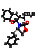 O=C(O)CC(Cc1ccccc1)C(=O)N1C(=O)OC[C@@H]1Cc1ccccc1